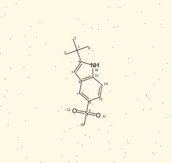 CC(C)(C)c1cc2cc(S(C)(=O)=O)ccc2[nH]1